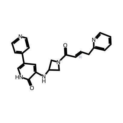 O=C(/C=C/Cc1ccccn1)N1CC(Nc2cc(-c3ccncc3)c[nH]c2=O)C1